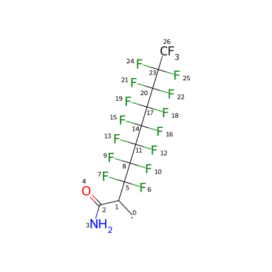 [CH2]C(C(N)=O)C(F)(F)C(F)(F)C(F)(F)C(F)(F)C(F)(F)C(F)(F)C(F)(F)C(F)(F)F